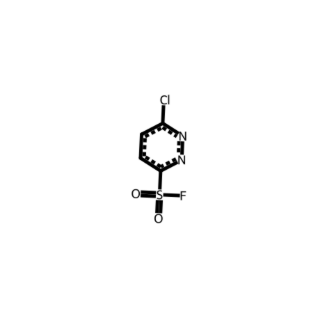 O=S(=O)(F)c1ccc(Cl)nn1